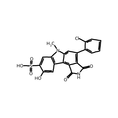 Cn1c2cc(S(=O)(=O)O)c(O)cc2c2c3c(c(-c4ccccc4Cl)cc21)C(=O)NC3=O